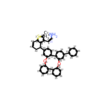 Cc1sc2c(c1/C=C\N)C(c1ccc3c(c1)Oc1ccccc1-c1ccccc1Oc1cc(-c4ccccc4)ccc1-3)CC=C2